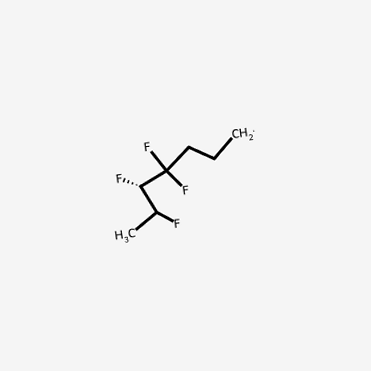 [CH2]CCC(F)(F)[C@@H](F)C(C)F